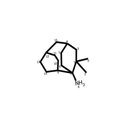 CC1(C)CC2CCC1(N)C1CCC(CC1)C2